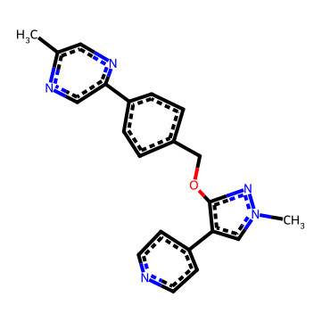 Cc1cnc(-c2ccc(COc3nn(C)cc3-c3ccncc3)cc2)cn1